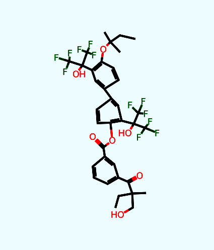 CCC(C)(C)Oc1ccc(-c2ccc(OC(=O)c3cccc(C(=O)C(C)(CC)CO)c3)c(C(O)(C(F)(F)F)C(F)(F)F)c2)cc1C(O)(C(F)(F)F)C(F)(F)F